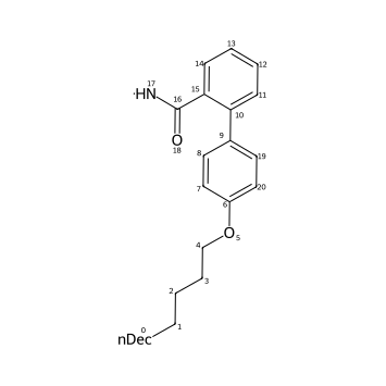 CCCCCCCCCCCCCCOc1ccc(-c2ccccc2C([NH])=O)cc1